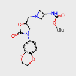 CC(C)(C)OC(=O)NC1CN(CC2CN(c3ccc4c(c3)OCCO4)C(=O)O2)C1